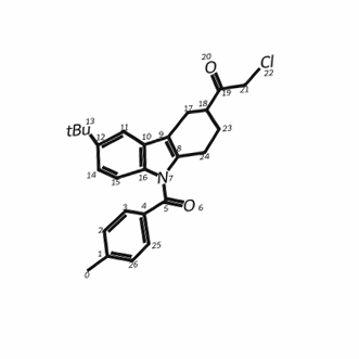 Cc1ccc(C(=O)n2c3c(c4cc(C(C)(C)C)ccc42)CC(C(=O)CCl)CC3)cc1